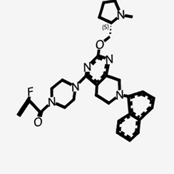 C=C(F)C(=O)N1CCN(c2nc(OC[C@@H]3CCCN3C)nc3c2CCN(c2cccc4ccccc24)C3)CC1